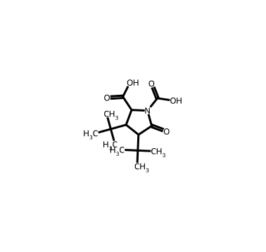 CC(C)(C)C1C(=O)N(C(=O)O)C(C(=O)O)C1C(C)(C)C